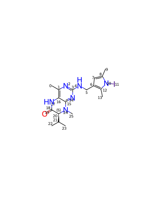 Cc1nc(NCc2cc(C)n(I)c2C)nc2c1NC(=O)[C@H](C(C)C)N2C